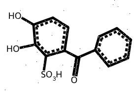 O=C(c1ccccc1)c1ccc(O)c(O)c1S(=O)(=O)O